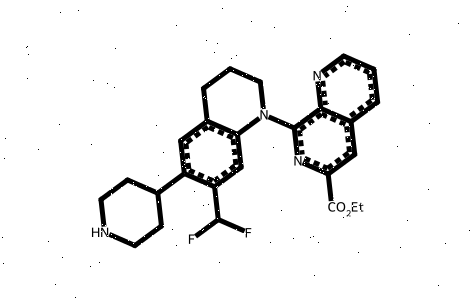 CCOC(=O)c1cc2cccnc2c(N2CCCc3cc(C4CCNCC4)c(C(F)F)cc32)n1